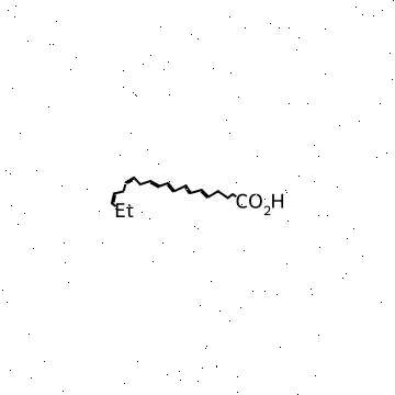 CC/C=C\C/C=C\C/C=C/C=C/C=C/C=C/CCCC(=O)O